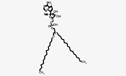 CCCCCCCCCCCCCCCCC[C@H](COCCCCCCCCCCCCCCCC)COP(=O)(O)OC[C@H]1O[C@@](C#N)(c2ccc3c(N)ncnn23)[C@H](O)[C@@H]1O